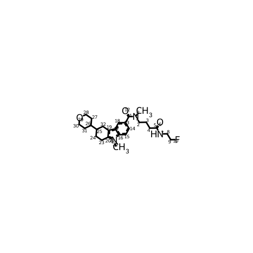 CN(CCCC(=O)NCCF)C(=O)c1ccc2c(c1)c1c(n2C)CCC(C2CCOCC2)C1